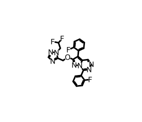 Fc1ccccc1-c1c(OCc2ncnn2CC(F)F)nn2c(-c3ccccc3F)nncc12